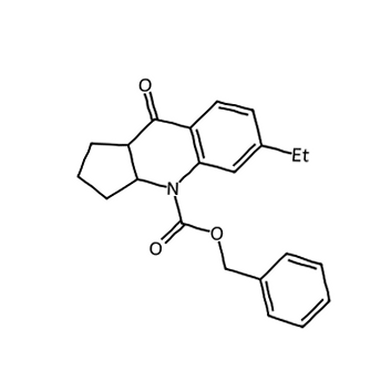 CCc1ccc2c(c1)N(C(=O)OCc1ccccc1)C1CCCC1C2=O